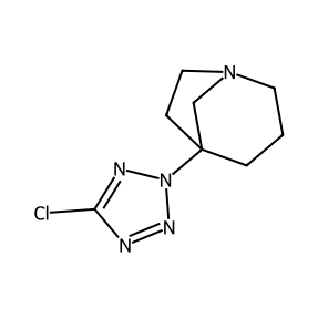 Clc1nnn(C23CCCN(CC2)C3)n1